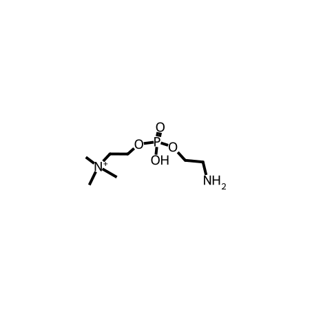 C[N+](C)(C)CCOP(=O)(O)OCCN